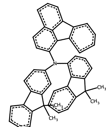 CC1(C)c2ccccc2-c2ccc(N(c3cccc4c3-c3ccccc3C4(C)C)c3ccc4cccc5c4c3-c3ccccc3-5)cc21